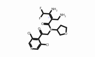 NC/C(C(=O)N(CC(=O)c1c(Cl)cncc1Cl)C1CCOC1)=C(\N)C(F)F